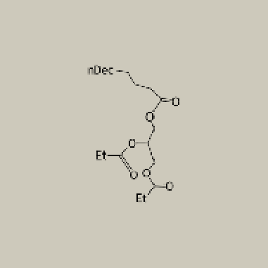 CCCCCCCCCCCCCC(=O)OCC(COC(=O)CC)OC(=O)CC